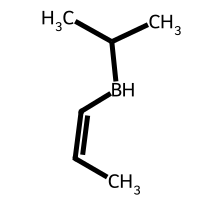 C/C=C\BC(C)C